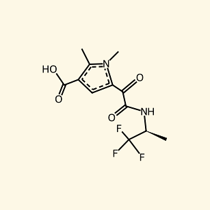 Cc1c(C(=O)O)cc(C(=O)C(=O)N[C@@H](C)C(F)(F)F)n1C